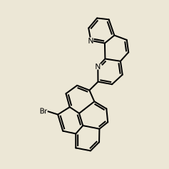 Brc1cc2cccc3ccc4c(-c5ccc6ccc7cccnc7c6n5)ccc1c4c32